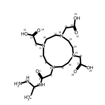 CC(NN)NC(=O)CN1CCN(CC(=O)O)CCN(CC(=O)O)CCN(CC(=O)O)CC1